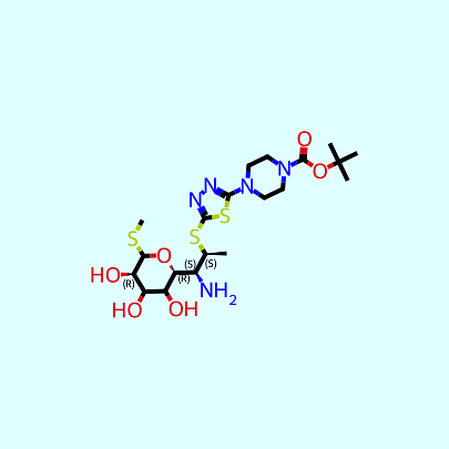 CSC1O[C@H]([C@H](N)[C@H](C)Sc2nnc(N3CCN(C(=O)OC(C)(C)C)CC3)s2)C(O)C(O)[C@H]1O